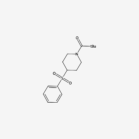 CC(C)(C)C(=O)N1CCC(S(=O)(=O)c2ccccc2)CC1